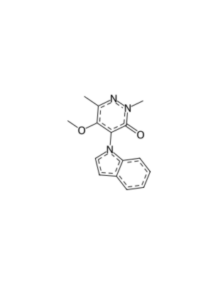 COc1c(C)nn(C)c(=O)c1-n1ccc2ccccc21